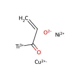 C=C[C](=O)[Ti+3].[Cu+2].[Ni+2].[O-2]